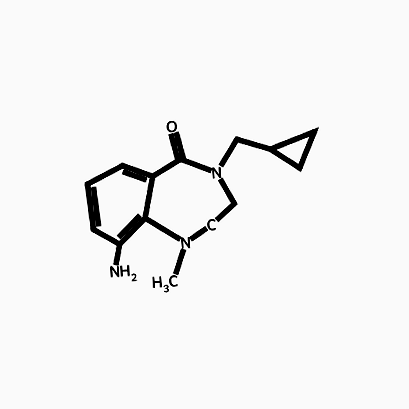 CN1CCN(CC2CC2)C(=O)c2cccc(N)c21